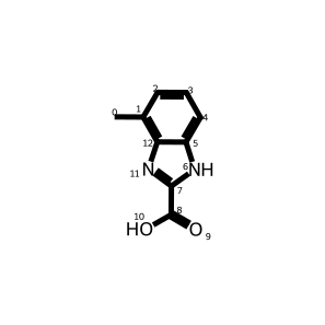 Cc1cccc2[nH]c(C(=O)O)nc12